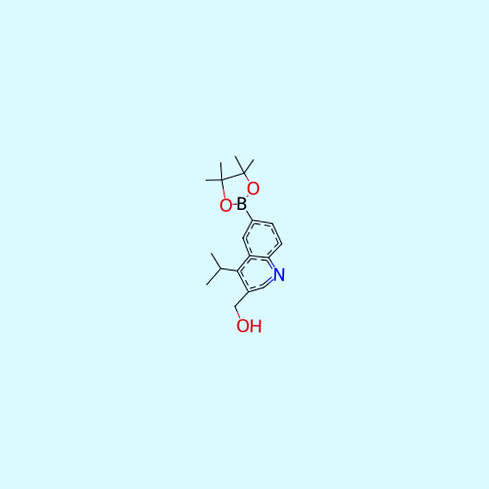 CC(C)c1c(CO)cnc2ccc(B3OC(C)(C)C(C)(C)O3)cc12